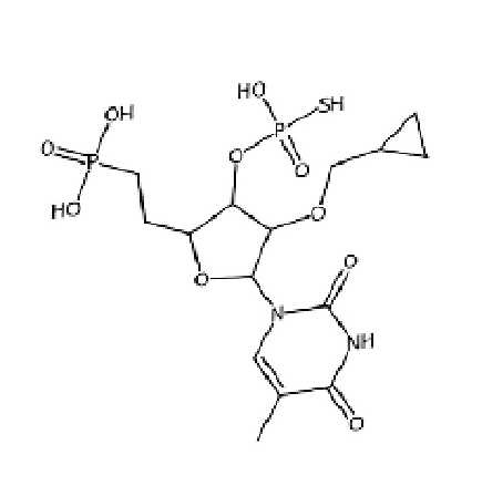 Cc1cn(C2OC(CCP(=O)(O)O)C(OP(=O)(O)S)C2OCC2CC2)c(=O)[nH]c1=O